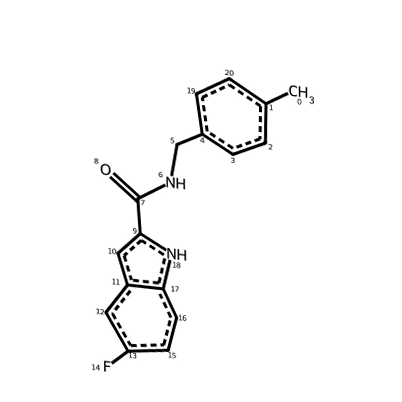 Cc1ccc(CNC(=O)c2cc3cc(F)ccc3[nH]2)cc1